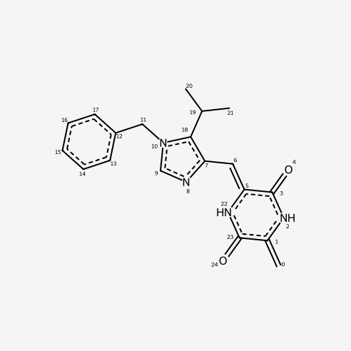 C=c1[nH]c(=O)c(=Cc2ncn(Cc3ccccc3)c2C(C)C)[nH]c1=O